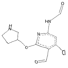 O=CNc1cc(Cl)c(C=O)c(OC2CCNC2)n1